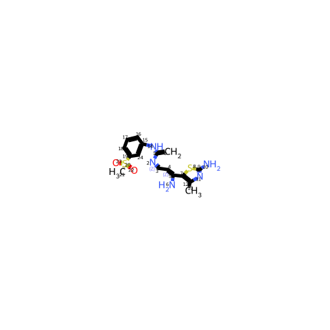 C=C(/N=C\C=C(/N)c1sc(N)nc1C)Nc1cccc(S(C)(=O)=O)c1